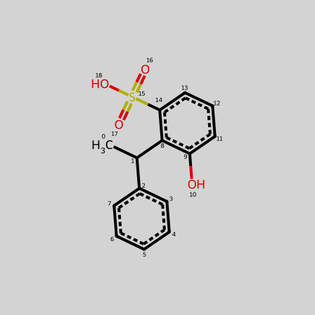 CC(c1ccccc1)c1c(O)cccc1S(=O)(=O)O